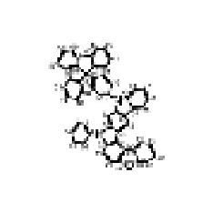 c1ccc(-n2c3cc4c(cc3c3c5c(ccc32)oc2ccccc25)c2ccccc2n4-c2ccc(C3(c4ccccc4)c4ccccc4-c4ccccc43)cc2)cc1